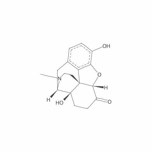 CN1CC[C@@]23c4c5ccc(O)c4O[C@@H]2C(=O)CC[C@]3(O)[C@@H]1C5